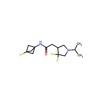 CC(C)N1CC(CC(=O)NC23CC(F)(C2)C3)C(F)(F)C1